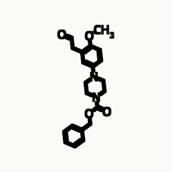 COc1ccc(N2CCN(C(=O)OCc3ccccc3)CC2)cc1CC=O